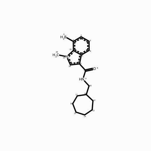 Bc1cccc2c(C(=O)NCC3CCCCCC3)cn(C)c12